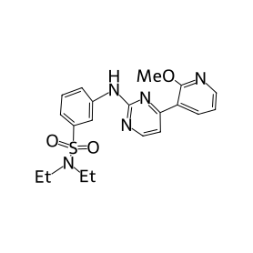 CCN(CC)S(=O)(=O)c1cccc(Nc2nccc(-c3cccnc3OC)n2)c1